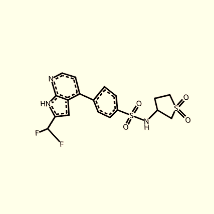 O=S1(=O)CCC(NS(=O)(=O)c2ccc(-c3ccnc4[nH]c(C(F)F)cc34)cc2)C1